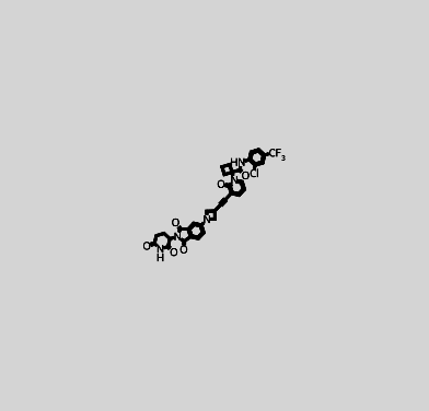 O=C1CCC(N2C(=O)c3ccc(N4CC(C#Cc5cccn(C6(C(=O)Nc7ccc(C(F)(F)F)cc7Cl)CCC6)c5=O)C4)cc3C2=O)C(=O)N1